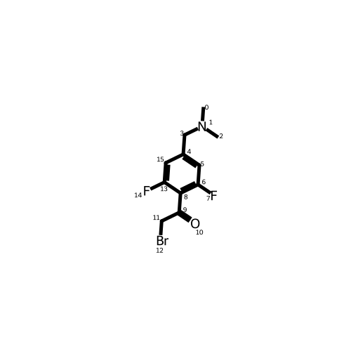 CN(C)Cc1cc(F)c(C(=O)CBr)c(F)c1